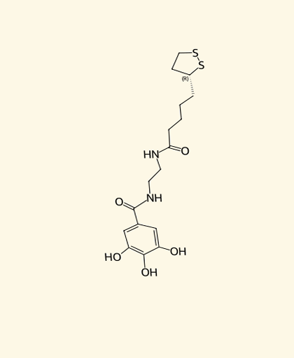 O=C(CCCC[C@@H]1CCSS1)NCCNC(=O)c1cc(O)c(O)c(O)c1